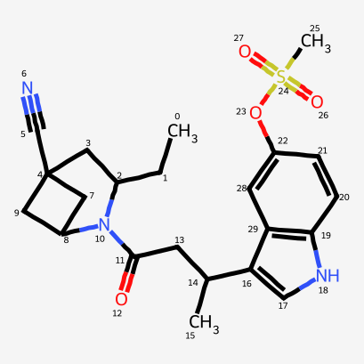 CCC1CC2(C#N)CC(C2)N1C(=O)CC(C)c1c[nH]c2ccc(OS(C)(=O)=O)cc12